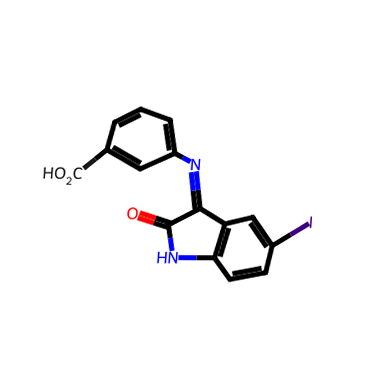 O=C1Nc2ccc(I)cc2/C1=N/c1cccc(C(=O)O)c1